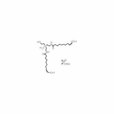 CCCCCCCC/C=C\CCCCCCCC(=O)NCC[N+](C)(CCO)CCNC(=O)CCCCCCC/C=C\CCCCCCCC.COS(=O)(=O)[O-]